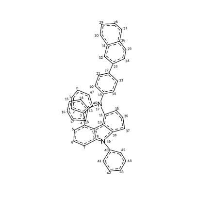 c1ccc(-c2cccc3c2c2c(N(c4ccccc4)c4ccc(-c5ccc6ccccc6c5)cc4)cccc2n3-c2ccccc2)cc1